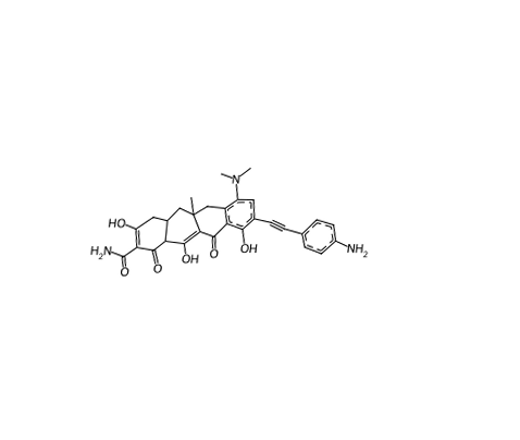 CN(C)c1cc(C#Cc2ccc(N)cc2)c(O)c2c1CC1(C)CC3CC(O)=C(C(N)=O)C(=O)C3C(O)=C1C2=O